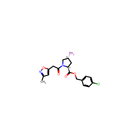 Cc1cc(CC(=O)N2C[C@H](P)C[C@H]2C(=O)OCc2ccc(Cl)cc2)on1